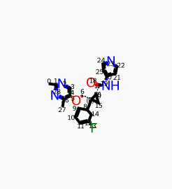 Cc1ncc(OC[C@@]2(C3C=CC=C(F)C3)C[C@H]2C(=O)Nc2ccncc2)c(C)n1